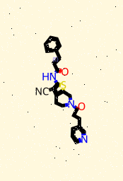 N#Cc1c(NC(=O)/C=C/c2ccccc2)sc2c1CCN(C(=O)CCc1cccnc1)C2